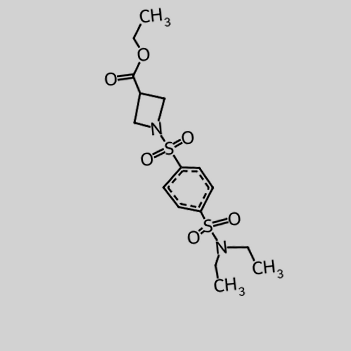 CCOC(=O)C1CN(S(=O)(=O)c2ccc(S(=O)(=O)N(CC)CC)cc2)C1